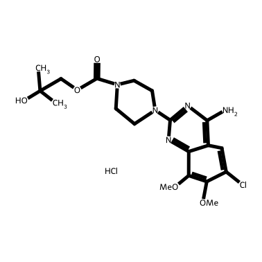 COc1c(Cl)cc2c(N)nc(N3CCN(C(=O)OCC(C)(C)O)CC3)nc2c1OC.Cl